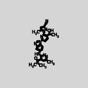 Cc1cc(C(=O)N(C)C)c(Nc2ccc3c(c2)ncn3-c2ccc(C(C)O)c(-n3nc(C#N)cc3C)n2)nn1